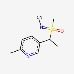 Cc1ccc(C(C)S(C)(=O)=NC#N)cn1